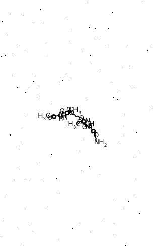 COc1ccc(C2=CN3C(=O)c4cc(OC)c(OCCCCCOc5cc6c(cc5OC)C(=O)N5C=C(c7ccc(OCCCN)cc7)C[C@H]5C=N6)cc4N=C[C@@H]3C2)cc1